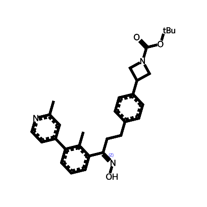 Cc1cc(-c2cccc(/C(CCc3ccc(C4CN(C(=O)OC(C)(C)C)C4)cc3)=N\O)c2C)ccn1